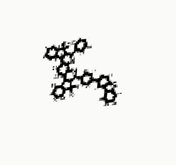 CC1(C)c2ccccc2-c2c1c(-c1ccccc1)nc1c2ccc2c3c(c(-c4ccc(-c5ccc6sc7ccccc7c6c5)cc4)nc21)C(C)(C)c1ccccc1-3